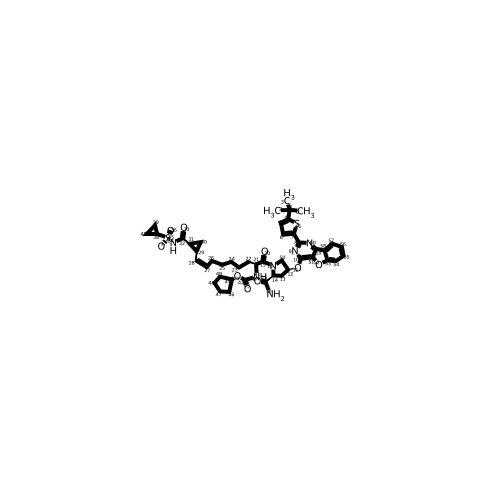 CC(C)(C)c1ccc(-c2nc(O[C@@H]3C[C@@H](C(N)=O)N(C(=O)[C@H](CCCCC/C=C\[C@@H]4C[C@@H]4C(=O)NS(=O)(=O)C4CC4)NC(=O)OC4CCCC4)C3)c3oc4ccccc4c3n2)s1